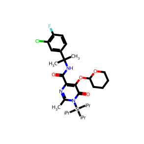 Cc1nc(C(=O)NC(C)(C)c2ccc(F)c(Cl)c2)c(OC2CCCCO2)c(=O)n1[Si](C(C)C)(C(C)C)C(C)C